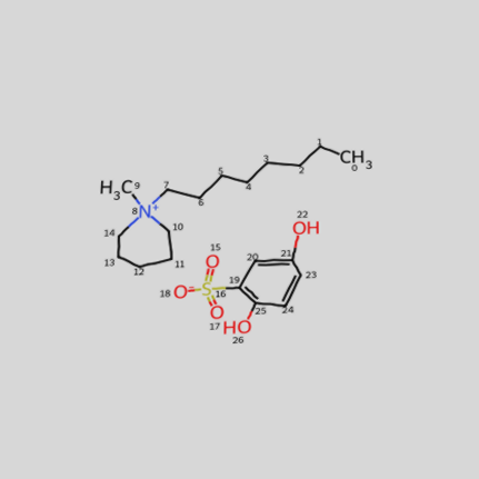 CCCCCCCC[N+]1(C)CCCCC1.O=S(=O)([O-])c1cc(O)ccc1O